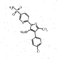 COc1c(-c2ccc(Cl)cc2)c(C)nn1-c1ccc(S(N)(=O)=O)cn1